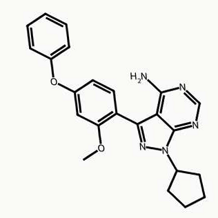 COc1cc(Oc2ccccc2)ccc1-c1nn(C2CCCC2)c2ncnc(N)c12